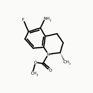 COC(=O)N1c2ccc(F)c(N)c2CC[C@@H]1C